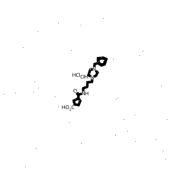 Cl.Cl.O=C(O)C1CCC(C(=O)NCCCCN2CCN(Cc3ccccc3)CC2)C1